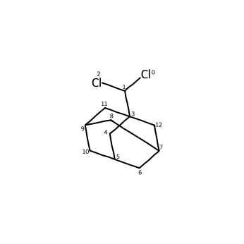 ClC(Cl)C12CC3CC(CC(C3)C1)C2